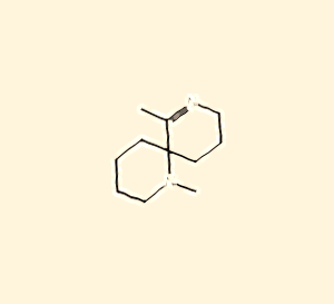 CC1=NCCCC12CCCCN2C